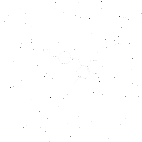 OCC1CCN(Cc2cc(I)cc(I)c2O)CC1